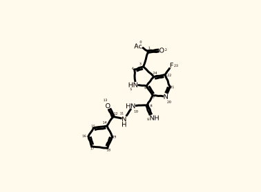 CC(=O)C(=O)c1c[nH]c2c(C(=N)NNC(=O)c3ccccc3)ncc(F)c12